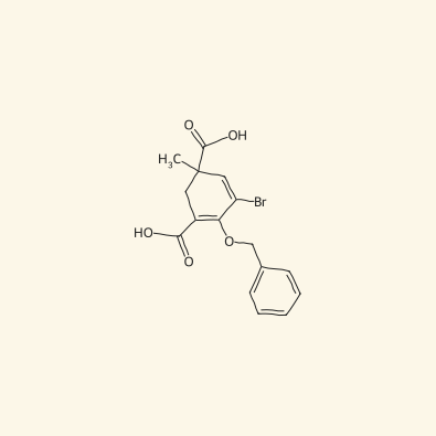 CC1(C(=O)O)C=C(Br)C(OCc2ccccc2)=C(C(=O)O)C1